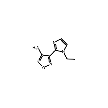 CCn1ccnc1-c1nonc1N